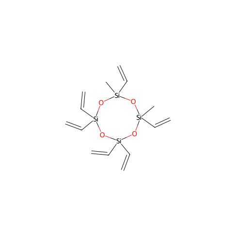 C=C[Si]1(C)O[Si](C)(C=C)O[Si](C=C)(C=C)O[Si](C=C)(C=C)O1